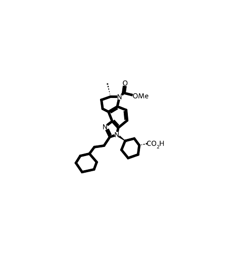 COC(=O)N1c2ccc3c(nc(CCC4CCCCC4)n3[C@@H]3CCC[C@@H](C(=O)O)C3)c2CC[C@@H]1C